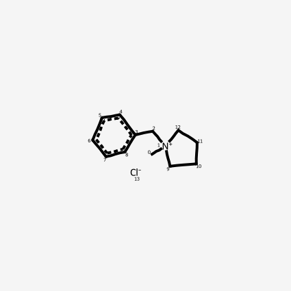 C[N+]1(Cc2ccccc2)CCCC1.[Cl-]